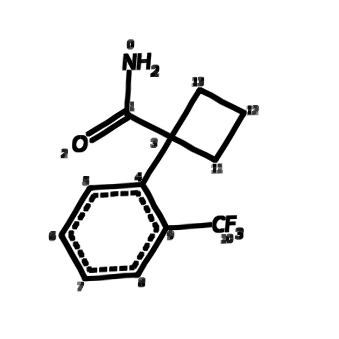 NC(=O)C1(c2ccccc2C(F)(F)F)CCC1